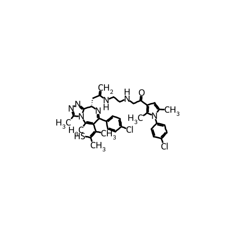 C=C(C[C@@H]1N=C(c2ccc(Cl)cc2)C(/C(C)=C(/C)S)=C(C)n2c(C)nnc21)NCCNCC(=O)c1cc(C)n(-c2ccc(Cl)cc2)c1C